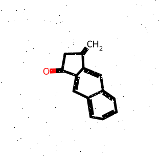 C=C1CC(=O)c2cc3ccccc3cc21